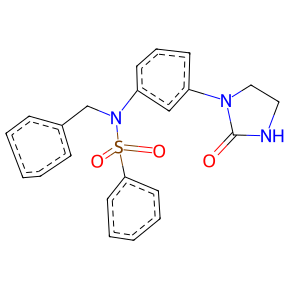 O=C1NCCN1c1cccc(N(Cc2ccccc2)S(=O)(=O)c2ccccc2)c1